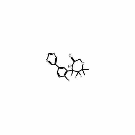 CC1(C)OCC(=O)NC(C)(c2cc(-c3cncnc3)ccc2F)C1(F)F